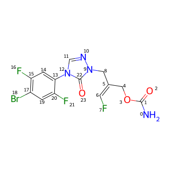 NC(=O)OCC(=CF)Cn1ncn(-c2cc(F)c(Br)cc2F)c1=O